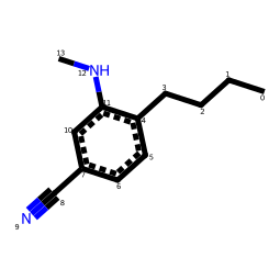 CCCCc1ccc(C#N)cc1NC